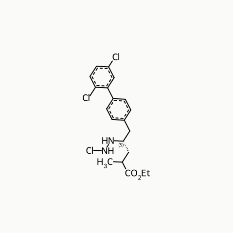 CCOC(=O)C(C)C[C@@H](Cc1ccc(-c2cc(Cl)ccc2Cl)cc1)NNCl